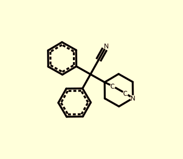 N#CC(c1ccccc1)(c1ccccc1)C12CCN(CC1)CC2